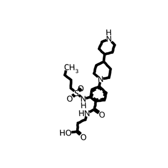 CCCCS(=O)(=O)Nc1cc(N2CCC(C3CCNCC3)CC2)ccc1C(=O)NCCC(=O)O